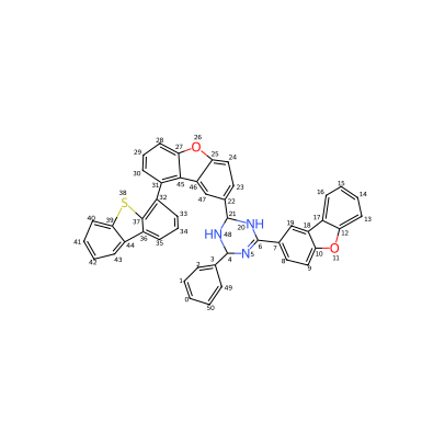 c1ccc(C2N=C(c3ccc4oc5ccccc5c4c3)NC(c3ccc4oc5cccc(-c6cccc7c6sc6ccccc67)c5c4c3)N2)cc1